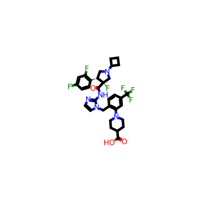 O=C(O)C1CCN(c2cc(C(F)(F)F)ccc2Cn2ccnc2NC(=O)[C@]2(F)CN(C3CCC3)C[C@H]2c2ccc(F)cc2F)CC1